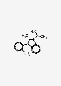 Cc1ccccc1N1c2ncccc2N(C(C)C)[C@H]1C